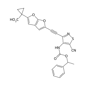 CC(OC(=O)Nc1c(C#Cc2cc3cc(C4(C(=O)O)CC4)oc3o2)nsc1C#N)c1ccccc1